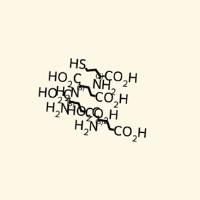 N[C@@H](CCC(=O)O)C(=O)O.N[C@@H](CCC(=O)O)C(=O)O.N[C@@H](CCC(=O)O)C(=O)O.N[C@@H](CCS)C(=O)O